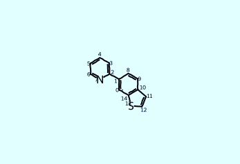 [c]1c(-c2ccccn2)ccc2ccsc12